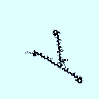 C=C(/C=C/C(C)=C/C=C/C(C)=C/C(=O)CCCCCC(NC(=O)/C=C(C)/C=C/C=C(C)/C=C/C1=C(C)CCCC1(C)C)C(=O)NC(CCCCNC(=O)/C=C(C)/C=C/C=C(C)/C=C/C1=C(C)CCCC1(C)C)C(=O)NCC)C(C)(C)CCCCC